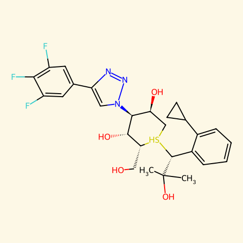 CC(C)(O)[C@@H](c1ccccc1C1CC1)[SH]1C[C@H](O)[C@H](n2cc(-c3cc(F)c(F)c(F)c3)nn2)[C@@H](O)[C@H]1CO